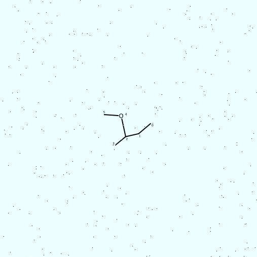 [CH2]CC([CH2])OC